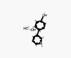 Cl.Cl.Oc1ccc(-c2cccnc2)cc1